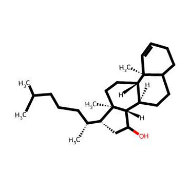 CC(C)CCC[C@@H](C)[C@H]1CC(O)[C@H]2[C@@H]3CCC4CCC=C[C@]4(C)[C@H]3CC[C@]12C